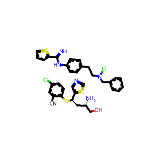 N#Cc1cc(Cl)ccc1S[C@H](C[C@H](N)CO)c1cncs1.N=C(Nc1ccc(CCN(Cl)Cc2ccccc2)cc1)c1cccs1